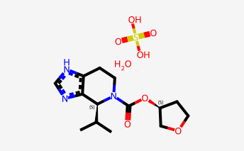 CC(C)[C@H]1c2nc[nH]c2CCN1C(=O)O[C@H]1CCOC1.O.O=S(=O)(O)O